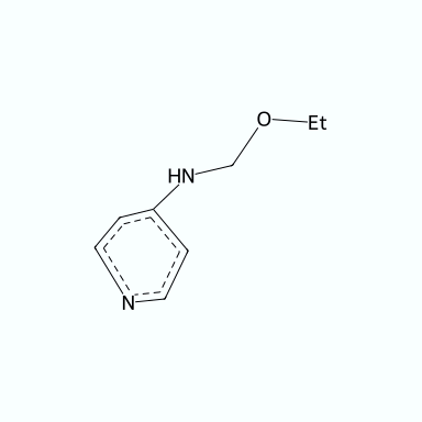 CCOCNc1ccncc1